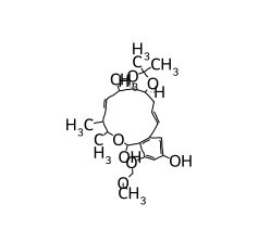 COCOc1cc(O)cc2c1C(O)OC(C)C(C)/C=C\C(C)[C@H]1OC(C)(C)O[C@H]1C/C=C/2